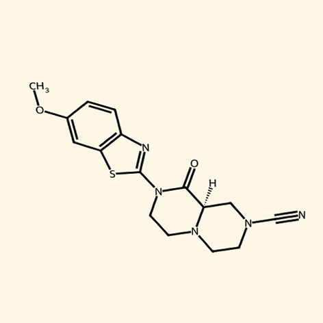 COc1ccc2nc(N3CCN4CCN(C#N)C[C@@H]4C3=O)sc2c1